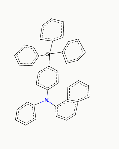 c1ccc(N(c2ccc([Si](c3ccccc3)(c3ccccc3)c3ccccc3)cc2)c2cccc3ccccc23)cc1